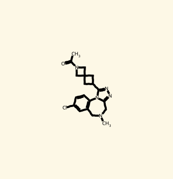 CC(=O)N1CC2(CC(c3nnc4n3-c3ccc(Cl)cc3CN(C)C4)C2)C1